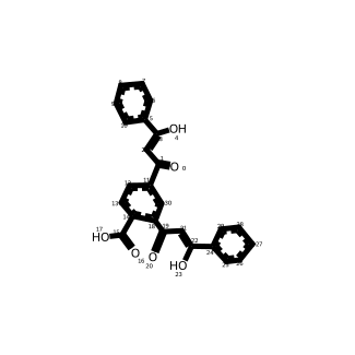 O=C(C=C(O)c1ccccc1)c1ccc(C(=O)O)c(C(=O)C=C(O)c2ccccc2)c1